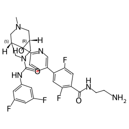 CN1C[C@@H]2CN(C(=O)Nc3cc(F)cc(F)c3)C[C@H](C1)C2(O)c1ccc(-c2cc(F)c(C(=O)NCCN)cc2F)cn1